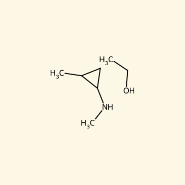 CCO.CNC1CC1C